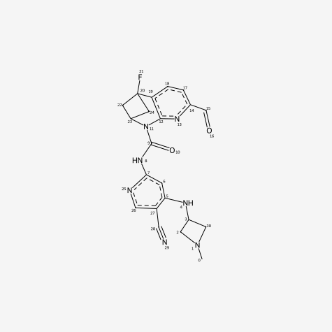 CN1CC(Nc2cc(NC(=O)N3c4nc(C=O)ccc4C4(F)CC3C4)ncc2C#N)C1